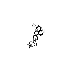 COc1ccc2nccc(C3(O)CCN(C(=O)OC(C)(C)C)CC3)c2n1